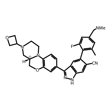 CNCc1cc(C)c(-c2cc3c(-c4ccc5c(c4)OC[C@@H]4CN(C6COC6)CCN54)n[nH]c3cc2C#N)c(F)c1